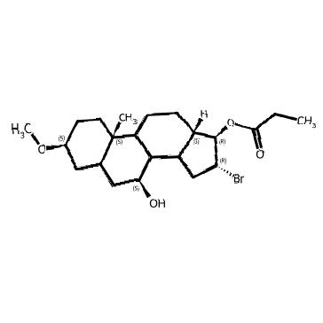 CCC(=O)O[C@H]1[C@H](Br)CC2C3C(CC[C@@H]21)[C@@]1(C)CC[C@H](OC)CC1C[C@@H]3O